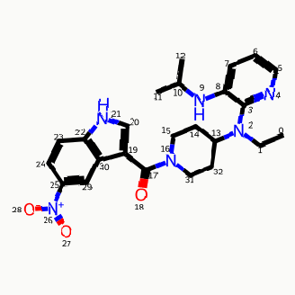 CCN(c1ncccc1NC(C)C)C1CCN(C(=O)c2c[nH]c3ccc([N+](=O)[O-])cc23)CC1